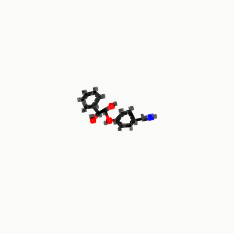 N#Cc1ccc(OC(=O)C(=O)c2ccccc2)cc1